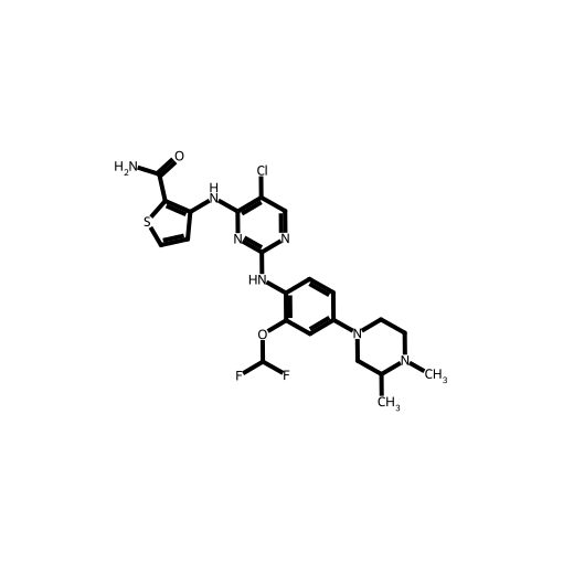 CC1CN(c2ccc(Nc3ncc(Cl)c(Nc4ccsc4C(N)=O)n3)c(OC(F)F)c2)CCN1C